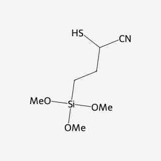 CO[Si](CCC(S)C#N)(OC)OC